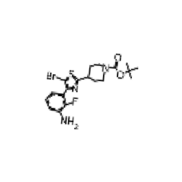 CC(C)(C)OC(=O)N1CCC(c2nc(-c3cccc(N)c3F)c(Br)s2)CC1